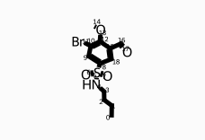 CCCCNS(=O)(=O)c1cc(Br)c(OC)c(C=O)c1